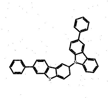 C1=c2sc3cc(-c4ccccc4)ccc3c2=CC(n2c3ccccc3c3cc(-c4ccccc4)ccc32)C1